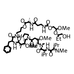 CCC(CO)OC(COC(=O)NCCC(=O)N[C@@H](C)C(=O)OCCCNC(=O)C(Cc1ccccc1)NC(=O)[C@H](C)[C@@H](OC)[C@@H]1CCCN1C(=O)C[C@@H](OC)[C@H]([C@@H](C)CC)N(C)C(=O)[C@@H](NC(=O)[C@@H](NC)C(C)C)C(C)C)OC